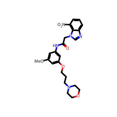 COc1cc(NC(=O)Cn2cnc3cccc([N+](=O)[O-])c32)cc(OCCCN2CCOCC2)c1